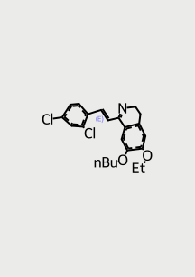 CCCCOc1cc2c(cc1OCC)CCN=C2/C=C/c1ccc(Cl)cc1Cl